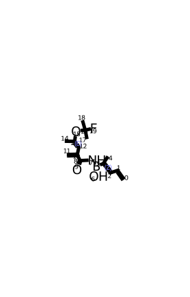 C=C/C=C(\C)B(O)NC(=O)C(=C)/C=C(\C)OC(C)(C)F